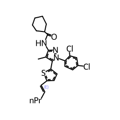 CCC/C=C/c1ccc(-c2c(C)c(NC(=O)C3CCCCC3)nn2-c2ccc(Cl)cc2Cl)s1